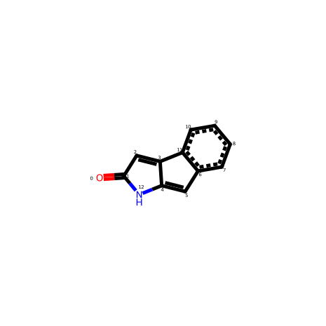 O=C1C=C2C(=Cc3ccccc32)N1